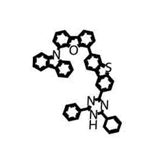 C1=CCC(C2N=C(c3ccc4sc5cc(-c6cccc7c6oc6c(-n8c9ccccc9c9ccccc98)cccc67)ccc5c4c3)N=C(c3ccccc3)N2)C=C1